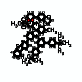 Cc1cc2c3c(c1)N(c1c(-c4ccccc4)ccc4c1OCCO4)c1ccc(C(C)(C)C)cc1B3c1ccc(-c3ccc4c(c3)sc3ccccc34)cc1N2c1cc(-c2ccc(C(C)(C)C)cc2)cc(-c2ccc(C(C)(C)C)cc2)c1